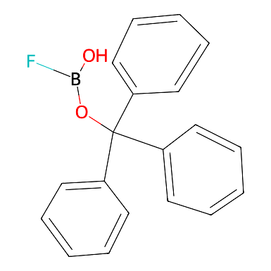 OB(F)OC(c1ccccc1)(c1ccccc1)c1ccccc1